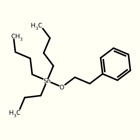 CCC[CH2][Sn]([CH2]CC)([CH2]CCC)[O]CCc1ccccc1